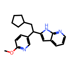 COc1ccc(C(CC2CCCC2)c2cc3cccnc3[nH]2)cn1